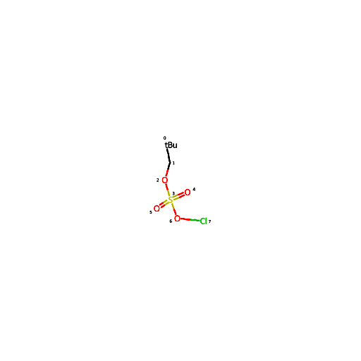 CC(C)(C)COS(=O)(=O)OCl